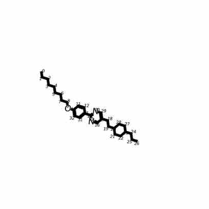 CCCCCCCCCOc1ccc(-c2ncc(CCC3CCC(CCC)CC3)cn2)cc1